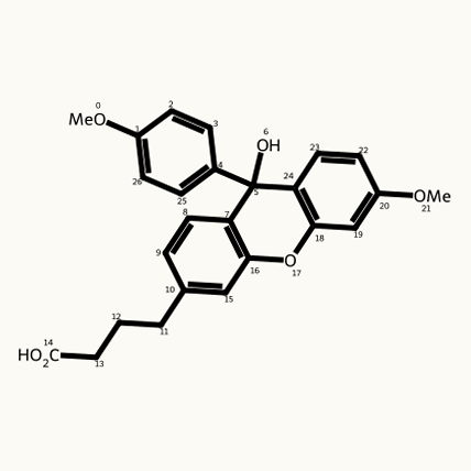 COc1ccc(C2(O)c3ccc(CCCC(=O)O)cc3Oc3cc(OC)ccc32)cc1